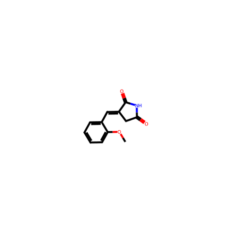 COc1ccccc1C=C1CC(=O)NC1=O